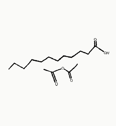 CC(=O)OC(C)=O.CCCCCCCCCCCC(=O)O